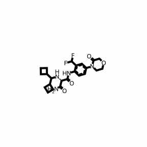 NC(=O)[C@H](NC(C1CCC1)C1CCC1)C(=O)Nc1ccc(N2CCOCC2=O)cc1C(F)F